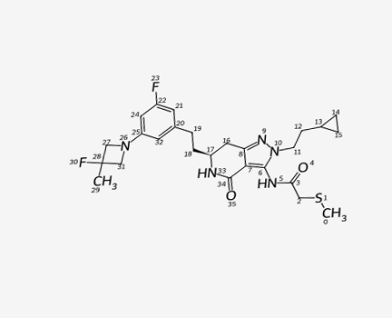 CSCC(=O)Nc1c2c(nn1CCC1CC1)C[C@H](CCc1cc(F)cc(N3CC(C)(F)C3)c1)NC2=O